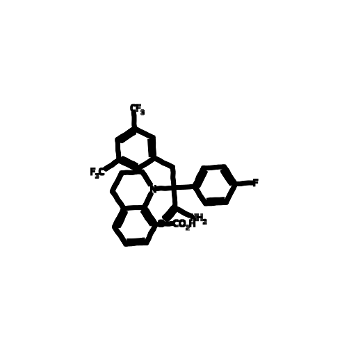 NC(=O)C(Cc1cc(C(F)(F)F)cc(C(F)(F)F)c1)(c1ccc(F)cc1)N1CCCc2cccc(C(=O)O)c21